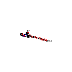 COCCOCCOCCOCCOCCOCCOCCOc1cccc(C(c2ccc(C(C)=O)cc2)N2CCN(Cc3ccccc3)CC2)c1